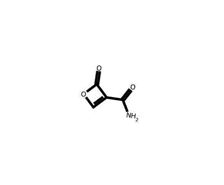 NC(=O)C1=COC1=O